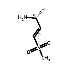 CC[C@@H](N)/C=C/S(C)(=O)=O